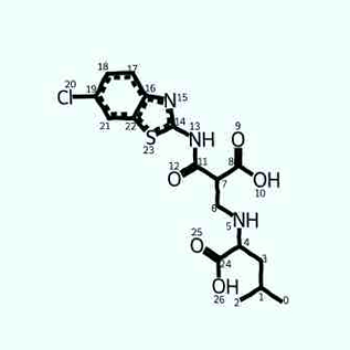 CC(C)CC(NCC(C(=O)O)C(=O)Nc1nc2ccc(Cl)cc2s1)C(=O)O